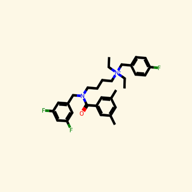 CC[N+](CC)(CCCCN(Cc1cc(F)cc(F)c1)C(=O)c1cc(C)cc(C)c1)Cc1ccc(F)cc1